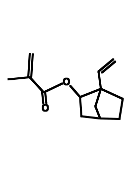 C=CC12CCC(CC1OC(=O)C(=C)C)C2